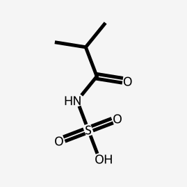 CC(C)C(=O)NS(=O)(=O)O